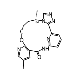 Cc1cnc2c(c1)C(=O)Nc1cccc(n1)-c1nncn1[C@@H](C)CCCO2